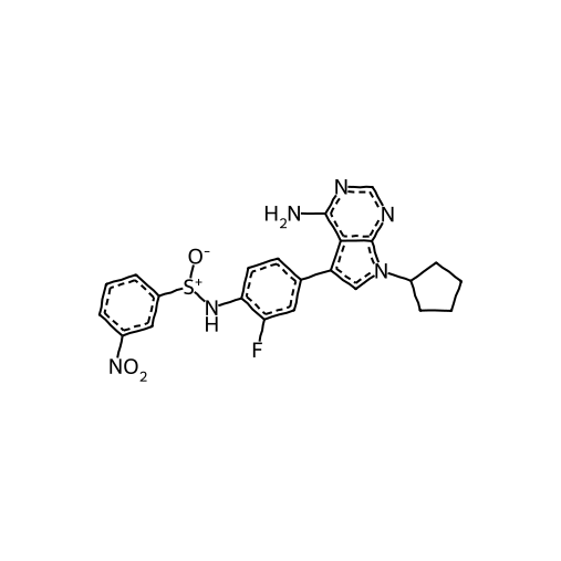 Nc1ncnc2c1c(-c1ccc(N[S+]([O-])c3cccc([N+](=O)[O-])c3)c(F)c1)cn2C1CCCC1